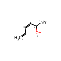 C=C/C=C\C(O)CCC